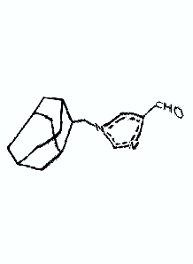 O=Cc1cn(C2C3CC4CC(C3)CC2C4)cn1